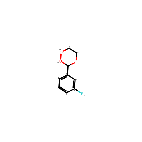 Fc1cccc(C2OCCOO2)c1